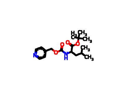 CC(C)CC(NC(=O)OCc1ccncc1)C(=O)OC(C)(C)C